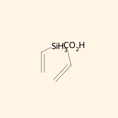 C=CC(=O)O.C=C[SiH3]